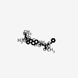 COC(=O)CCC(C)[C@H]1CCC2C3CC[C@@H]4C[C@@H](NC(=O)CC[C@H](NC(=O)OCc5ccccc5)C(=O)OC)CC[C@]4(C)C3C[C@H](O)[C@@]21C